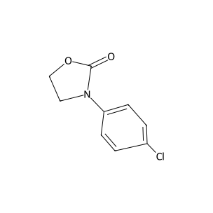 O=C1OCCN1c1ccc(Cl)cc1